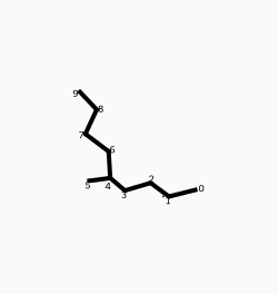 C[CH]CCC(C)CCCC